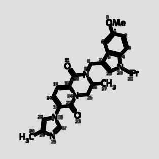 COc1ccc2c(c1)c(CN1C(=O)c3ccc(-n4cnc(C)c4)c(=O)n3CC1C)cn2C(C)C